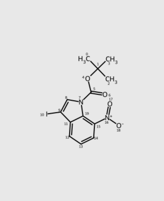 CC(C)(C)OC(=O)n1cc(I)c2cccc([N+](=O)[O-])c21